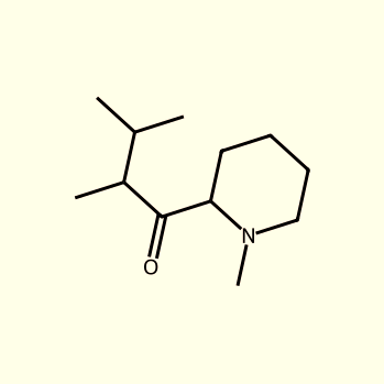 CC(C)C(C)C(=O)C1CCCCN1C